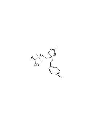 CCCC(F)[Si](C)(C)OCC1(C=Cc2ccc(Br)cc2)COC(C)=N1